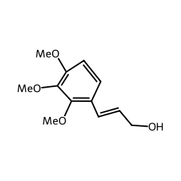 COc1ccc(/C=C/CO)c(OC)c1OC